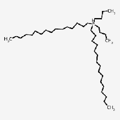 CCCCCCCCCCCCCCCC[PH](CCCC)(CCCC)CCCCCCCCCCCCCCCC